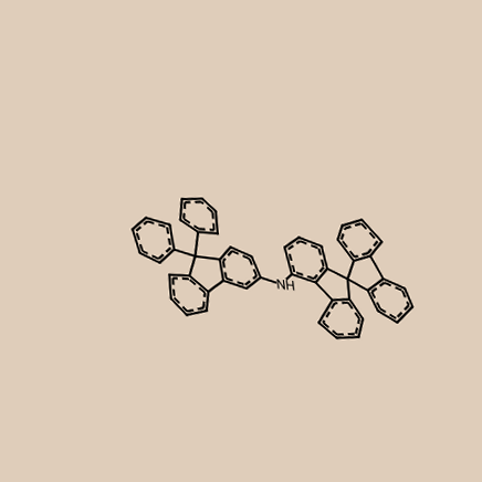 c1ccc(C2(c3ccccc3)c3ccccc3-c3cc(Nc4cccc5c4-c4ccccc4C54c5ccccc5-c5ccccc54)ccc32)cc1